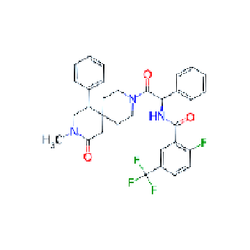 CN1CC(c2ccccc2)C2(CCN(C(=O)[C@H](NC(=O)c3cc(C(F)(F)F)ccc3F)c3ccccc3)CC2)CC1=O